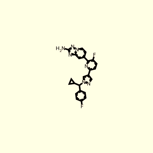 Nc1nc2cc(-c3nc(-c4cnn(C(c5ccc(F)cc5)C5CC5)c4)ccc3F)ccn2n1